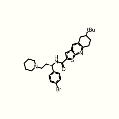 CC(C)(C)[C@H]1CCc2nc3sc(C(=O)N[C@H](CCN4CCCCC4)c4ccc(Br)cc4)cc3cc2C1